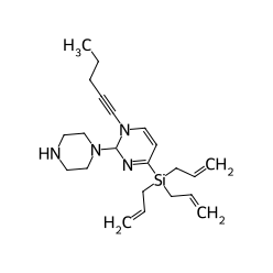 C=CC[Si](CC=C)(CC=C)C1=NC(N2CCNCC2)N(C#CCCC)C=C1